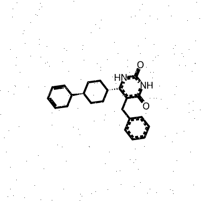 O=c1[nH]c(=O)c(Cc2ccccc2)c([C@H]2CC[C@H](C3C=CC=CC3)CC2)[nH]1